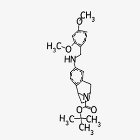 COc1ccc(CNc2ccc3c(c2)CC2CCC3N2C(=O)OC(C)(C)C)c(OC)c1